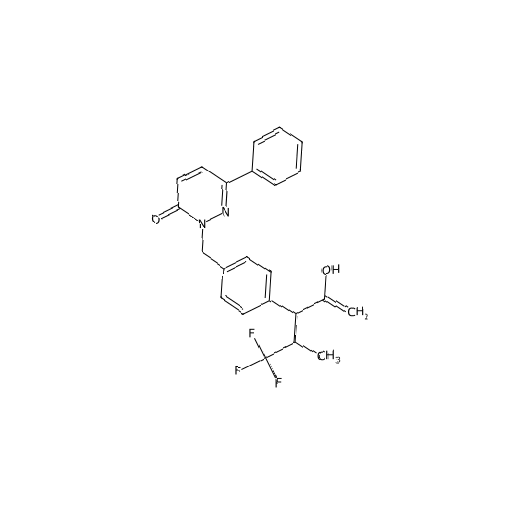 C=C(O)C(c1ccc(Cn2nc(-c3ccccc3)ccc2=O)cc1)C(C)C(F)(F)F